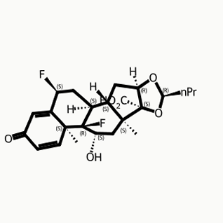 CCC[C@@H]1O[C@@H]2C[C@H]3[C@@H]4C[C@H](F)C5=CC(=O)C=C[C@]5(C)[C@@]4(F)[C@@H](O)C[C@]3(C)[C@]2(C(=O)O)O1